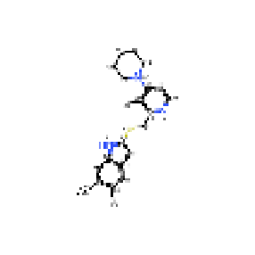 CC(=O)c1cc2[nH]c(SCc3nccc(N4CCCCC4)c3C)cc2cc1C